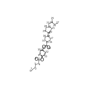 CCCCCC(=O)Oc1ccc(OC(=O)C2CCC(C3CCC(CC(C)CC)CC3)CC2)cc1